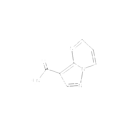 NC(=O)c1cnn2cccnc12